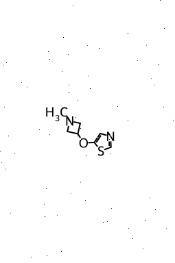 CN1CC(Oc2cncs2)C1